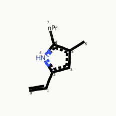 C=Cc1cc(C)c(CCC)[nH]1